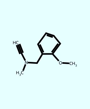 C#CN(C)Cc1ccccc1OC